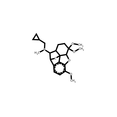 COc1ccc2c3c1OC1C(OC)(OC)CCC4C(N(C)CC5CC5)C2CC341